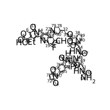 CCC1(O)C(=O)OCc2c1cc1n(c2=O)Cc2c-1nc1cc(F)c(C)cc1c2CN1CCC(CCOC(=O)[C@@H]2CCCN2C(=O)CNC(=O)[C@H](CCCNC(N)=O)NC(=O)[C@@H](NC(=O)C2CCC(CN3C(=O)C=CC3=O)CC2)C(C)C)CC1